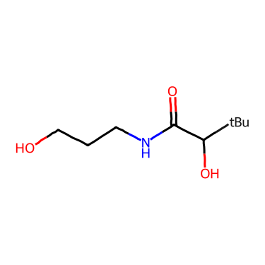 CC(C)(C)C(O)C(=O)NCCCO